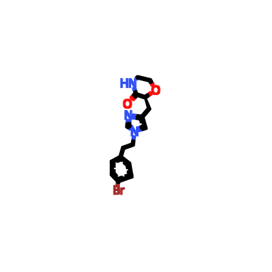 O=C1NCCO[C@H]1Cc1cn(CCc2ccc(Br)cc2)cn1